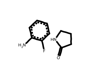 Nc1ccccc1F.O=C1CCCN1